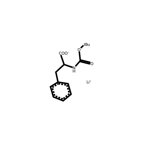 CC(C)(C)OC(=O)NC(Cc1ccccc1)C(=O)[O-].[Li+]